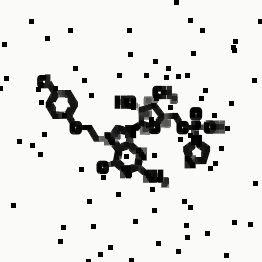 C[C@H]1[C@@H](O)[C@H](n2c[n+](CCOc3ccc(Cl)cc3)c3c([O-])nc(N)nc32)O[C@@H]1COP(=O)(O)n1ccnc1